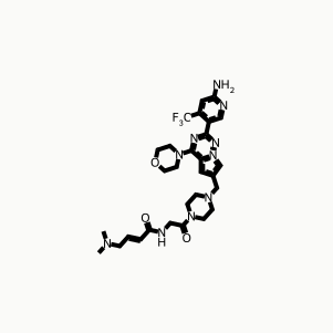 CN(C)C/C=C/C(=O)NCC(=O)N1CCN(Cc2cc3c(N4CCOCC4)nc(-c4cnc(N)cc4C(F)(F)F)nn3c2)CC1